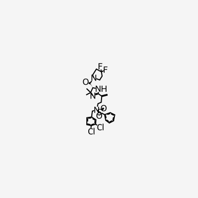 C=C(CCN(Cc1ccc(Cl)c(Cl)c1)S(=O)(=O)c1ccccc1)C1=NC(C)(C)[C@H](C(=O)N2CCC(F)(F)CC2)N1